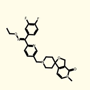 CCON=C(c1ccc(F)c(F)c1)c1ccc(CN2CCC3(CC2)OCc2c3ccn(C)c2=O)cn1